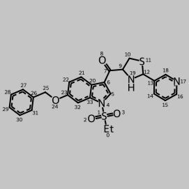 CCS(=O)(=O)n1cc(C(=O)C2CSC(c3cccnc3)N2)c2ccc(OCc3ccccc3)cc21